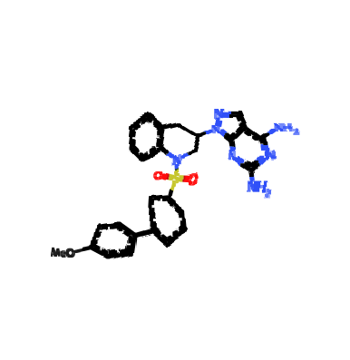 COc1ccc(-c2cccc(S(=O)(=O)N3CC(n4ncc5c(N)nc(N)nc54)Cc4ccccc43)c2)cc1